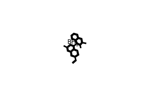 Bc1c(C)cc2cc(C=C)ccc2c1-c1c(C)c(C)cc2ccccc12